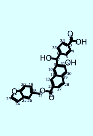 O=C(O)c1ccc(C(O)c2cc3cc(C(=O)OCc4ccc5occc5c4)ccc3cc2O)cc1